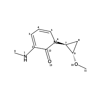 CNc1cccn([C@H]2C[C@@H]2OC)c1=O